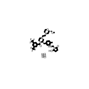 COC[C@@H]1CN(CCN2CCN(C(=O)c3cc(C(F)(F)F)cc(C(F)(F)F)c3)[C@H](Cc3ccc(C)c(NCN4C(=O)CCC4O)c3)C2)CCO1.Cl.Cl.Cl